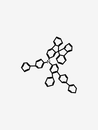 C1=CC(c2ccc(-c3ccc(N(c4ccc(-c5ccccc5)cc4)c4ccc5c(c4)C4(c6ccccc6-c6ccccc64)c4ccccc4-5)cc3-c3ccccc3)cc2)=CCC1